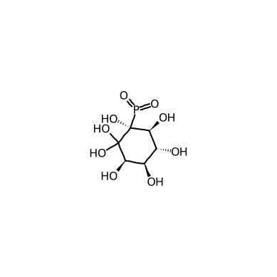 O=P(=O)[C@@]1(O)[C@@H](O)[C@H](O)[C@@H](O)[C@@H](O)C1(O)O